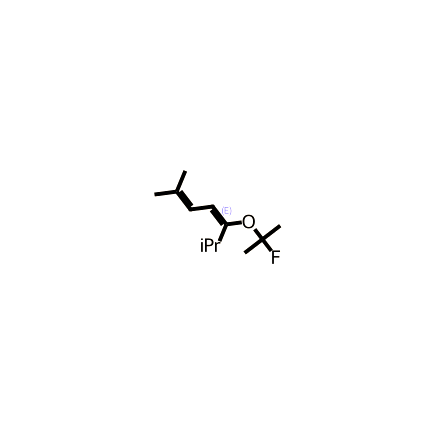 CC(C)=C/C=C(/OC(C)(C)F)C(C)C